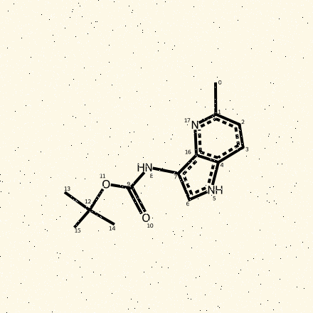 Cc1ccc2[nH]cc(NC(=O)OC(C)(C)C)c2n1